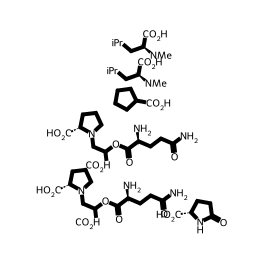 CN[C@@H](CC(C)C)C(=O)O.CN[C@@H](CC(C)C)C(=O)O.NC(=O)CC[C@H](N)C(=O)OC(CN1CCC[C@H]1C(=O)O)C(=O)O.NC(=O)CC[C@H](N)C(=O)OC(CN1CCC[C@H]1C(=O)O)C(=O)O.O=C(O)C1CCCC1.O=C1CC[C@@H](C(=O)O)N1